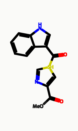 COC(=O)C1=C[SH](C(=O)c2c[nH]c3ccccc23)C=N1